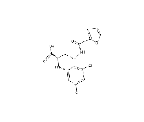 O=C(N[C@H]1C[C@H](C(=O)O)Nc2cc(Cl)cc(Cl)c21)c1ccco1